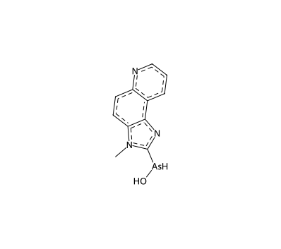 Cn1c([AsH]O)nc2c3cccnc3ccc21